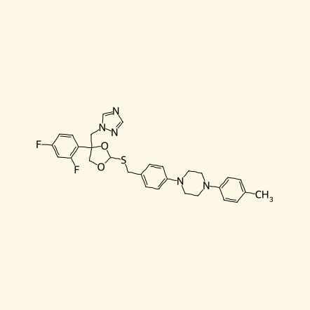 Cc1ccc(N2CCN(c3ccc(CSC4OCC(Cn5cncn5)(c5ccc(F)cc5F)O4)cc3)CC2)cc1